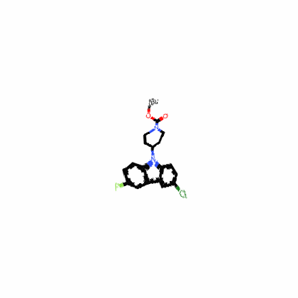 CC(C)(C)OC(=O)N1CCC(n2c3ccc(F)cc3c3cc(Cl)ccc32)CC1